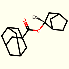 CC[C@@]1(OC(=O)C23CC4CC(CC(C4)C2)C3)CC2CCC1C2